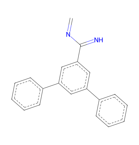 C=NC(=N)c1cc(-c2ccccc2)cc(-c2ccccc2)c1